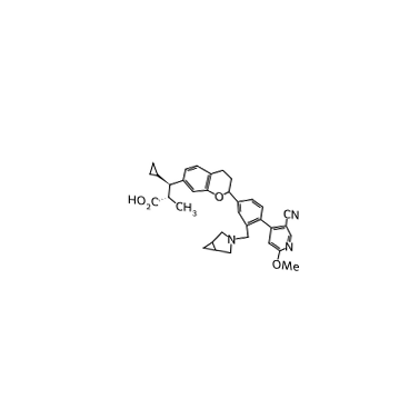 COc1cc(-c2ccc(C3CCc4ccc([C@H](C5CC5)[C@H](C)C(=O)O)cc4O3)cc2CN2CC3CC3C2)c(C#N)cn1